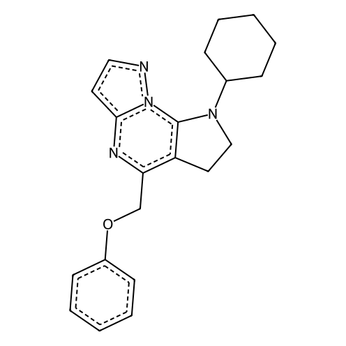 c1ccc(OCc2nc3ccnn3c3c2CCN3C2CCCCC2)cc1